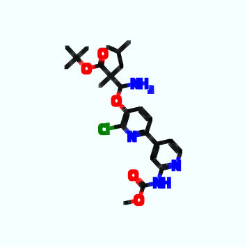 COC(=O)Nc1cc(-c2ccc(OC(N)C(C)(CC(C)C)C(=O)OC(C)(C)C)c(Cl)n2)ccn1